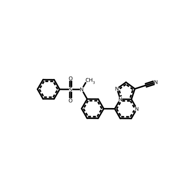 CN(c1cccc(-c2ccnc3c(C#N)cnn23)c1)S(=O)(=O)c1ccccc1